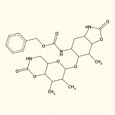 CC1C(OC2C(NC(=O)OCc3ccccc3)CC3NC(=O)OC3C2C)OC2CNC(=O)OC2C1C